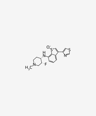 CN1CC[C@H](Nc2cccc3c(-c4cscn4)c[s+]([O-])c23)[C@H](F)C1